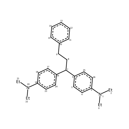 CCN(CC)c1ccc(C(CCc2ccccc2)c2ccc(N(CC)CC)cc2)cc1